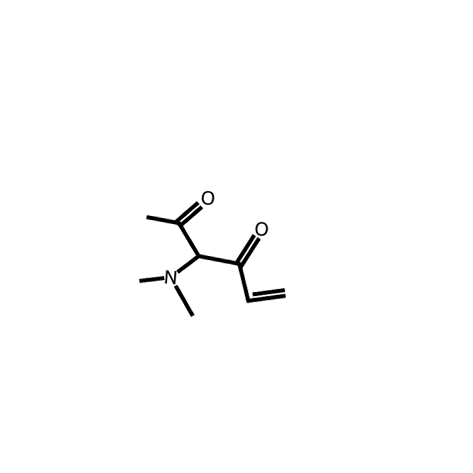 C=CC(=O)C(C(C)=O)N(C)C